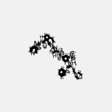 O=C(NS(=O)(=O)c1ccc(N[C@H](CCN2CCOCC2)CSc2ccccc2)c([N+](=O)[O-])c1)c1csc(N2CCc3cccc(C(=O)Nc4nc5ccncc5s4)c3C2)n1